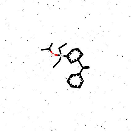 C=C(c1ccccc1)c1cccc([Si](CC)(CC)OC(C)C)c1